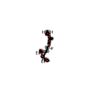 CCN1/C(=C/C=C2\CCCC(/C=C/C3=[N+](CC)c4ccccc4C3(C)C)=C2NCCCCNC(=O)CCC(=O)OCCc2ccc(/N=N/c3ccc(/N=N/c4ccc5c6c(cccc46)NC(C)(C)N5)c4ccccc34)cc2)C(C)(C)c2ccccc21.[I-]